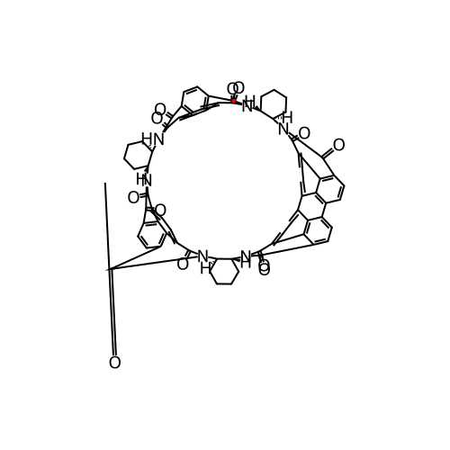 O=C1c2ccc3c4c5ccc(c24)C(=O)N1[C@@H]1CCCC[C@H]1N1C(=O)c2ccc4c6c(ccc(c26)C1=O)C(=O)N(C4=O)[C@@H]1CCCC[C@H]1N1C(=O)c2ccc4c6ccc7c8c(ccc(c9ccc(c2c49)C1=O)c86)C(=O)N(C7=O)[C@@H]1CCCC[C@H]1N(C3=O)C5=O